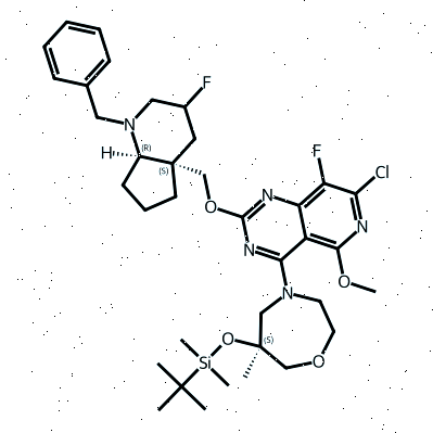 COc1nc(Cl)c(F)c2nc(OC[C@]34CCC[C@H]3N(Cc3ccccc3)CC(F)C4)nc(N3CCOC[C@@](C)(O[Si](C)(C)C(C)(C)C)C3)c12